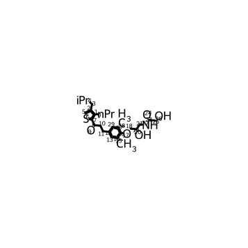 CCCc1c(CC(C)C)csc1C(=O)CCc1cc(C)c(OCC(O)CNC(=O)CO)c(C)c1